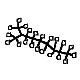 ClC(Cl)(Cl)[C](C(Cl)(Cl)Cl)C(Cl)(Cl)C(Cl)(Cl)C(Cl)(Cl)C(Cl)(Cl)C(Cl)(Cl)C(Cl)(Cl)C(Cl)(Cl)Cl